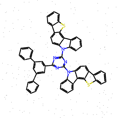 c1ccc(-c2cc(-c3ccccc3)cc(-c3nc(-n4c5ccccc5c5c6sc7ccccc7c6ccc54)nc(-n4c5ccccc5c5c6sc7ccccc7c6ccc54)n3)c2)cc1